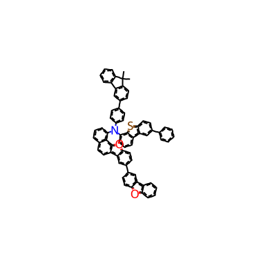 CC1(C)c2ccccc2-c2cc(-c3ccc(N(c4cccc5c4sc4ccc(-c6ccccc6)cc45)c4cccc5ccc6c7cc(-c8ccc9oc%10ccccc%10c9c8)ccc7oc6c45)cc3)ccc21